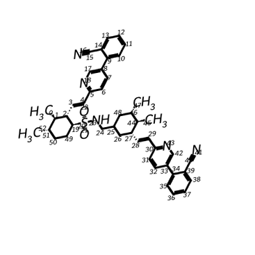 C[C@H]1[C@H](/C=C/c2ccc(-c3ccccc3C#N)cn2)[C@@H](S(=O)(=O)NCC2C[C@@H](/C=C/c3ccc(-c4ccccc4C#N)cn3)[C@H](C)[C@@H](C)C2)CC[C@@H]1C